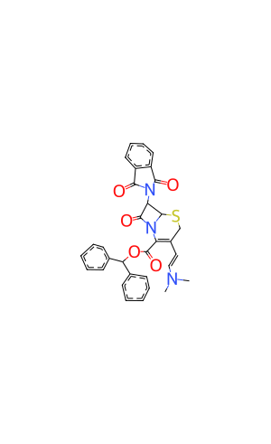 CN(C)C=CC1=C(C(=O)OC(c2ccccc2)c2ccccc2)N2C(=O)C(N3C(=O)c4ccccc4C3=O)C2SC1